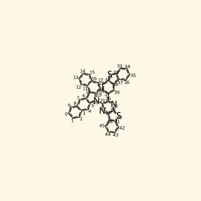 c1ccc2cc3c(cc2c1)c1c2ccccc2ccc1n3-c1nc2c(nc1-c1ccc3sc4ccccc4c3c1)sc1ccccc12